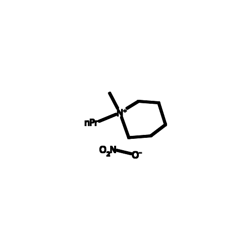 CCC[N+]1(C)CCCCC1.O=[N+]([O-])[O-]